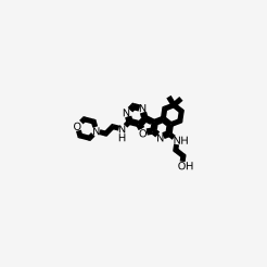 CC1(C)CCc2c(NCCO)nc3oc4c(NCCN5CCOCC5)ncnc4c3c2C1